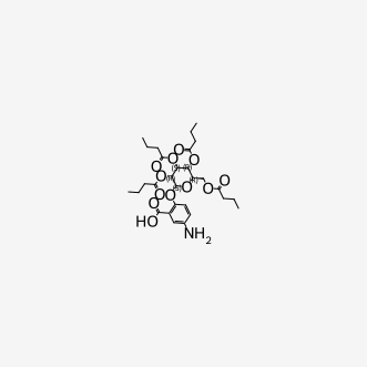 CCCC(=O)OC[C@H]1O[C@@H](Oc2ccc(N)cc2C(=O)O)[C@H](OC(=O)CCC)[C@@H](OC(=O)CCC)[C@@H]1OC(=O)CCC